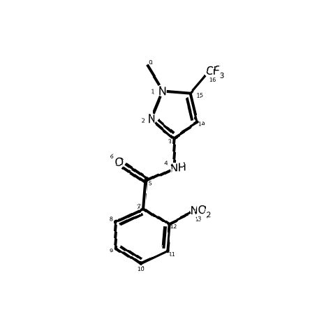 Cn1nc(NC(=O)c2ccccc2[N+](=O)[O-])cc1C(F)(F)F